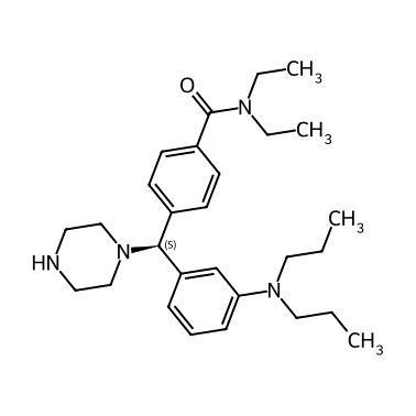 CCCN(CCC)c1cccc([C@H](c2ccc(C(=O)N(CC)CC)cc2)N2CCNCC2)c1